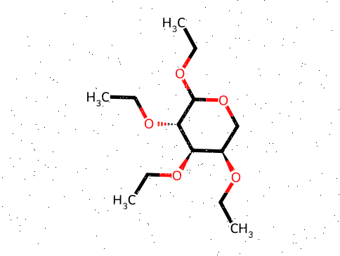 CCOC1OC[C@@H](OCC)[C@@H](OCC)[C@@H]1OCC